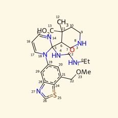 CCNC(=O)NC1(C2CNCCC2(C)C(=O)O)N=CC=CN1c1cc(COC)c2scnc2c1